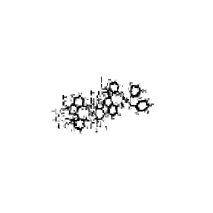 CC1(C)CC23CC(C)(C)c4cccc(c42)OP(N2C(C)(C)CCC([C@]4(C)C[C@@]56CC(C)(C)c7cccc(c75)OP(N(Cc5ccccc5)c5ccccn5)Oc5cccc4c56)C2(C)C)Oc2cccc1c23